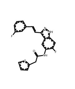 O=C(Cc1cccs1)Nc1cc2c(C=Cc3cccc(F)c3)n[nH]c2cc1F